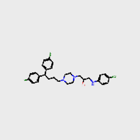 OC(CNc1ccc(Cl)cc1)CN1CCN(CCCC(c2ccc(F)cc2)c2ccc(F)cc2)CC1